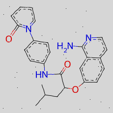 CC(C)CC(Oc1ccc2ccnc(N)c2c1)C(=O)Nc1ccc(-n2ccccc2=O)cc1